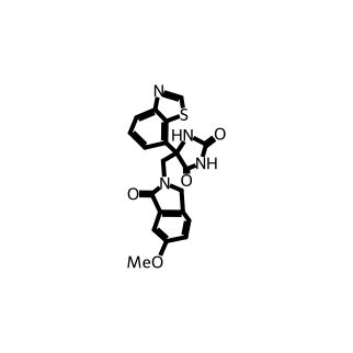 COc1ccc2c(c1)C(=O)N(CC1(c3cccc4ncsc34)NC(=O)NC1=O)C2